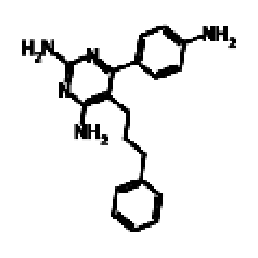 Nc1ccc(-c2nc(N)nc(N)c2CCCc2ccccc2)cc1